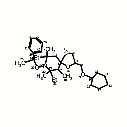 CCC1(C)CC2(OCC(COC3CCCCC3)O2)C(C)C(C)(CC)N1OC(C)c1ccccc1